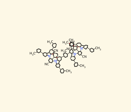 Cc1cccc(-c2ccc3c(c2)c2cc(-c4cccc(C)c4)ccc2n3-c2cc(C#N)cc(-n3c4ccc(-c5cccc(C)c5)cc4c4cc(-c5ccc(-c6cc(-c7cccc(C)c7)cc7c6c6ccc(-c8cccc(C)c8)cc6n7-c6cc(C#N)cc(-n7c8cc(-c9cccc(C)c9)ccc8c8ccc(-c9cccc(C)c9)cc87)c6-c6cccc(C#N)c6)c(C)c5)ccc43)c2-c2cccc(C#N)c2)c1